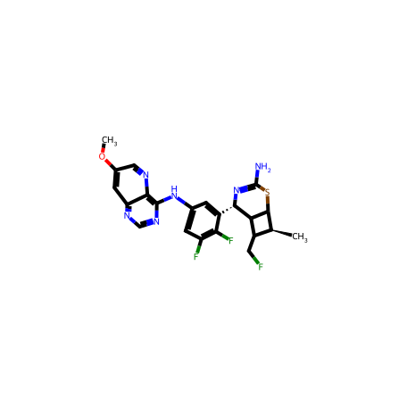 COc1cnc2c(Nc3cc(F)c(F)c([C@@H]4N=C(N)SC5C4C(CF)[C@@H]5C)c3)ncnc2c1